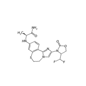 C[C@H](Nc1ccc2c(c1)SCCn1cc(N3C(=O)OCC3C(F)F)nc1-2)C(N)=O